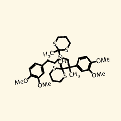 COc1ccc(CCN(CC(C)(c2ccc(OC)c(OC)c2)C2(C)SCCCS2)C2(C)SCCCS2)cc1OC